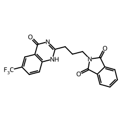 O=C1c2ccccc2C(=O)N1CCCc1nc(=O)c2cc(C(F)(F)F)ccc2[nH]1